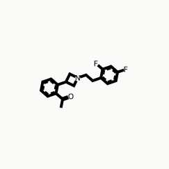 CC(=O)c1ccccc1C1CN(CCc2ccc(F)cc2F)C1